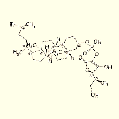 CC(C)[C@H](C)CC[C@@H](C)[C@H]1CC[C@H]2[C@@H]3CC[C@H]4C[C@@H](OP(=O)(O)OC5=C(O)[C@@H]([C@@H](O)CO)OC5=O)CC[C@]4(C)[C@H]3CC[C@]12C